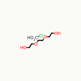 O=C(O)Cl.OCCOCCOCCO